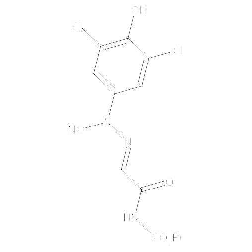 CCOC(=O)NC(=O)C=NN(C#N)c1cc(Cl)c(O)c(Cl)c1